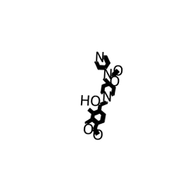 Cc1c(C(O)CN2CCC3(CC2)CN(c2ccncc2)C(=O)O3)ccc2c1COC2=O